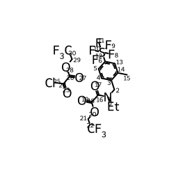 CCN(Cc1ccc(S(F)(F)(F)(F)F)cc1C)C(=O)C(=O)OCC(F)(F)F.O=C(Cl)C(=O)OCC(F)(F)F